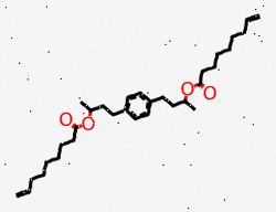 C=CCCCCCCC(=O)OC(C)CCc1ccc(CCC(C)OC(=O)CCCCCCC=C)cc1